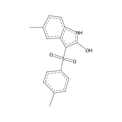 Cc1ccc(S(=O)(=O)c2c(O)[nH]c3ccc(C)cc23)cc1